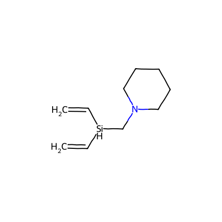 C=C[SiH](C=C)CN1CCCCC1